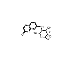 O=c1ccc2ccc(NC3C(O)OC4CO[C@@H]4C3O)cc2o1